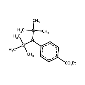 CCOC(=O)c1ccc(N([Si](C)(C)C)[Si](C)(C)C)cc1